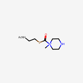 CC(=O)NCCSC(=O)[N+]1(C)CCNCC1